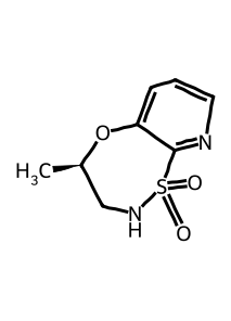 C[C@@H]1CNS(=O)(=O)c2ncccc2O1